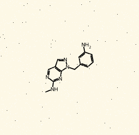 CNc1ncc2cnn(Cc3cccc(N)c3)c2n1